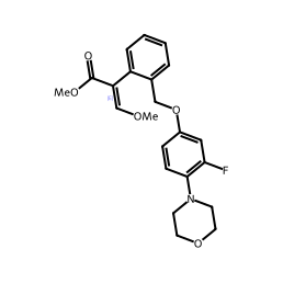 CO/C=C(/C(=O)OC)c1ccccc1COc1ccc(N2CCOCC2)c(F)c1